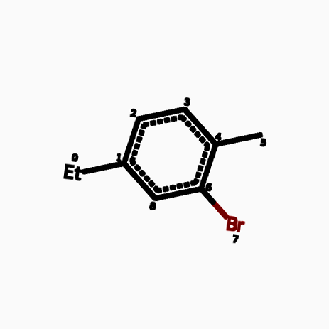 CCc1ccc(C)c(Br)c1